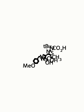 COc1ccc(Cn2cc(-c3nc(N(C(=O)O)C(C)(C)C)sc3C(C)(C)O)c(CO)n2)cc1